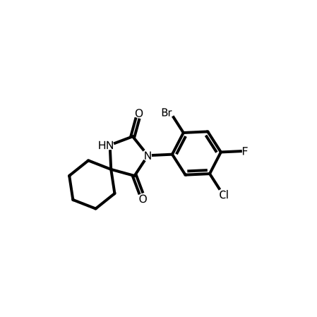 O=C1NC2(CCCCC2)C(=O)N1c1cc(Cl)c(F)cc1Br